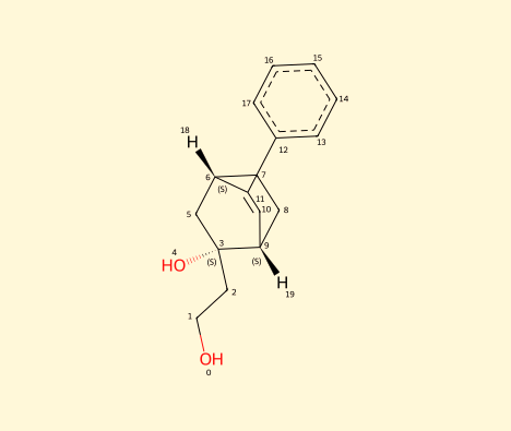 OCC[C@@]1(O)C[C@@H]2CC[C@H]1C=C2c1ccccc1